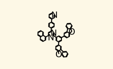 c1cncc(-c2ccc(-c3cc(-c4cccc5ccccc45)nc(-c4cc(-c5ccc6oc7ccccc7c6c5)cc(-c5ccc6oc7ccccc7c6c5)c4)n3)cc2)c1